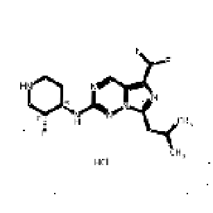 CC(C)Cc1nc(C(F)F)c2cnc(N[C@@H]3CCNC[C@H]3F)nn12.Cl